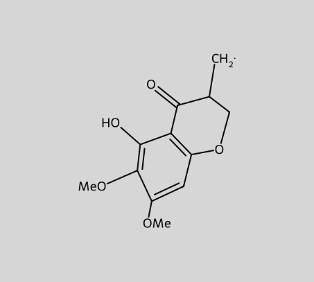 [CH2]C1COc2cc(OC)c(OC)c(O)c2C1=O